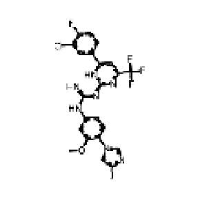 COc1cc(NC(=N)/N=c2/nc(C(F)(F)F)cc(-c3ccc(F)c(Cl)c3)[nH]2)ccc1-n1cnc(C)c1